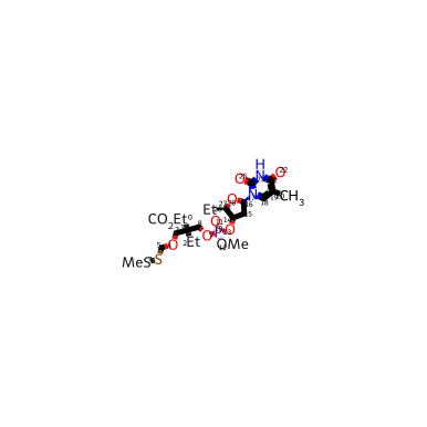 CCOC(=O)C(CC)(COCSSC)COP(=O)(OC)OC1C[C@H](n2cc(C)c(=O)[nH]c2=O)O[C@@H]1CC